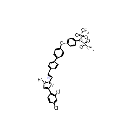 CCn1cc(-c2ccc(Cl)cc2Cl)nc1/C=C/c1ccc(-c2ccc(Oc3ccc(N(S(=O)(=O)C(F)(F)F)S(=O)(=O)C(F)(F)F)cc3)cc2)cc1